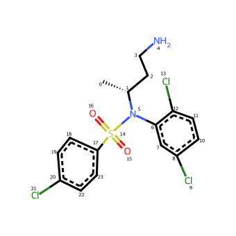 C[C@H](CCN)N(c1cc(Cl)ccc1Cl)S(=O)(=O)c1ccc(Cl)cc1